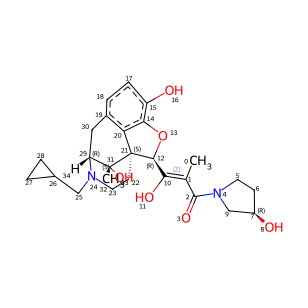 C/C(C(=O)N1CC[C@@H](O)C1)=C(/O)[C@@H]1Oc2c(O)ccc3c2[C@@]12CCN(CC1CC1)[C@H](C3)[C@@]2(C)O